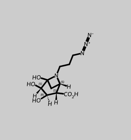 [N-]=[N+]=NCCCN1[C@H]2CC1(O)[C@@H](O)[C@H](O)[C@H]2C(=O)O